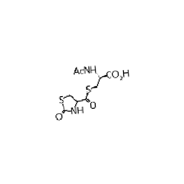 CC(=O)N[C@@H](CSC(=O)[C@@H]1CSC(=O)N1)C(=O)O